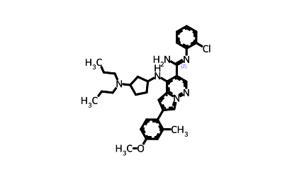 CCCN(CCC)C1CCC(Nc2c(/C(N)=N/c3ccccc3Cl)cnn3cc(-c4ccc(OC)cc4C)cc23)C1